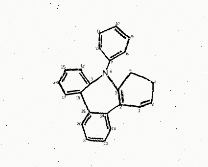 C1=CC2=C(CC1)N(c1ccccc1)c1ccccc1-c1ccccc12